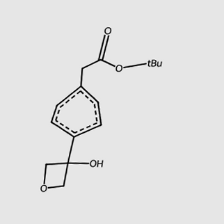 CC(C)(C)OC(=O)Cc1ccc(C2(O)COC2)cc1